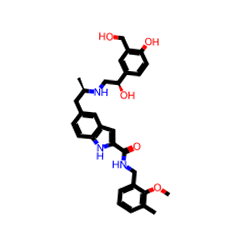 COc1c(C)cccc1CNC(=O)c1cc2cc(C[C@@H](C)NC[C@H](O)c3ccc(O)c(CO)c3)ccc2[nH]1